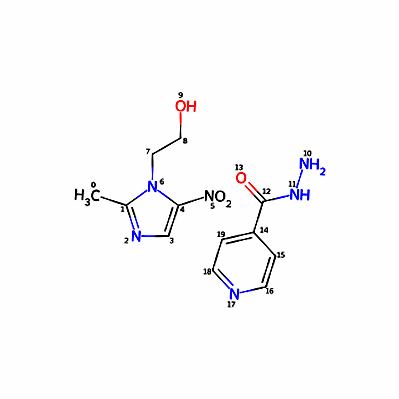 Cc1ncc([N+](=O)[O-])n1CCO.NNC(=O)c1ccncc1